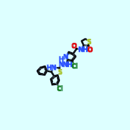 O=C(NC1CCSC1=O)c1cnc(NNC(=S)NC(c2ccccc2)c2ccc(Cl)cc2)c(Cl)c1